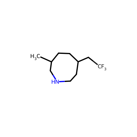 CC1CCC(CC(F)(F)F)CCNC1